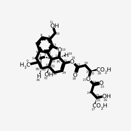 CN1CC[C@]23c4c5ccc(CO)c4O[C@H]2C(OC(=O)C[C@H](OC(=O)C[C@H](O)C(=O)O)C(=O)O)=CC[C@@]3(O)[C@H]1C5